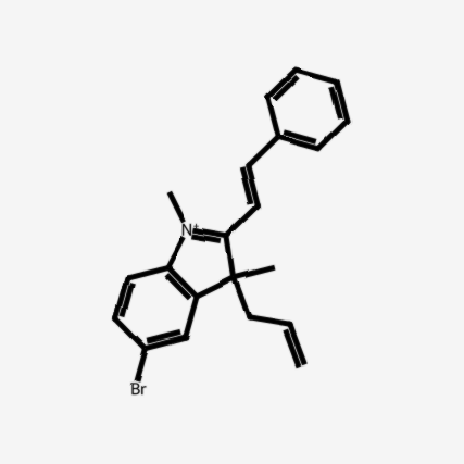 C=CCC1(C)C(/C=C/c2ccccc2)=[N+](C)c2ccc(Br)cc21